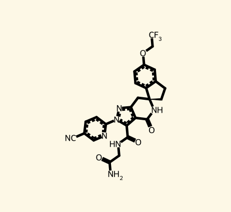 N#Cc1ccc(-n2nc3c(c2C(=O)NCC(N)=O)C(=O)N[C@]2(CCc4cc(OCC(F)(F)F)ccc42)C3)nc1